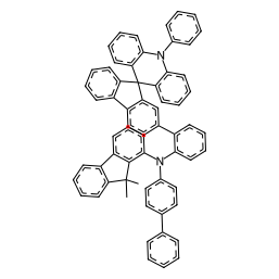 CC1(C)c2ccccc2-c2cccc(N(c3ccc(-c4ccccc4)cc3)c3ccccc3-c3ccc4c(c3)C3(c5ccccc5-4)c4ccccc4N(c4ccccc4)c4ccccc43)c21